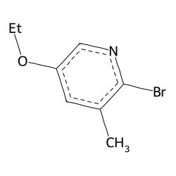 CCOc1cnc(Br)c(C)c1